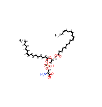 CC/C=C\C/C=C\C/C=C\CCCCCCCC(=O)OC[C@H](COP(=O)(O)OC[C@H](N)C(=O)O)OC(=O)CCCCCCC/C=C\CCCCCC